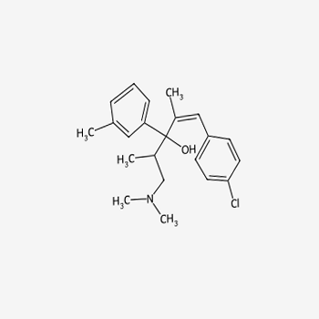 CC(=Cc1ccc(Cl)cc1)C(O)(c1cccc(C)c1)C(C)CN(C)C